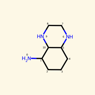 NC1CCCC2NCCNC12